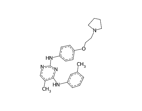 Cc1cccc(Nc2nc(Nc3ccc(OCCN4CCCC4)cc3)ncc2C)c1